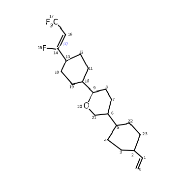 C=CC1CCC(C2CCC(C3CCC(/C(F)=C/C(F)(F)F)CC3)OC2)CC1